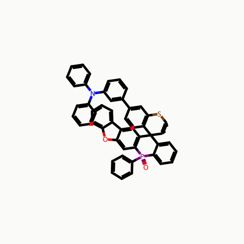 O=P1(c2ccccc2)c2ccccc2C2(c3ccccc3Sc3cc(-c4cccc(N(c5ccccc5)c5ccccc5)c4)ccc32)c2cc3c(cc21)oc1ccccc13